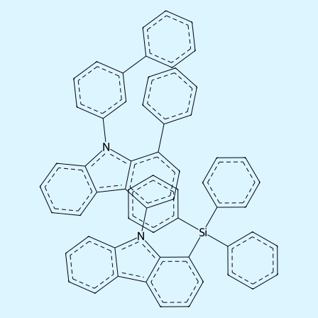 c1ccc(-c2cccc(-n3c4ccccc4c4c(-n5c6ccccc6c6cccc([Si](c7ccccc7)(c7ccccc7)c7ccccc7)c65)ccc(-c5ccccc5)c43)c2)cc1